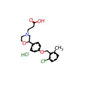 Cc1cccc(Cl)c1COc1ccc(C2CN(CCC(=O)O)CCO2)cc1.Cl